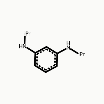 CC(C)Nc1cccc(NC(C)C)c1